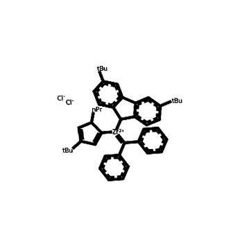 CCCC1C=C(C(C)(C)C)C=[C]1[Zr+2](=[C](c1ccccc1)c1ccccc1)[CH]1c2ccc(C(C)(C)C)cc2-c2cc(C(C)(C)C)ccc21.[Cl-].[Cl-]